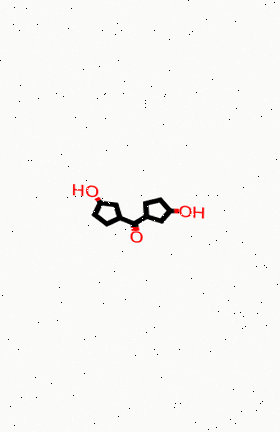 O=C(C1CCC(O)C1)C1CCC(O)C1